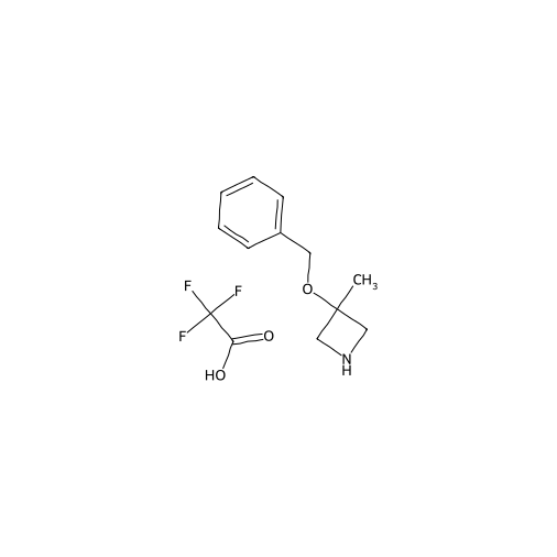 CC1(OCc2ccccc2)CNC1.O=C(O)C(F)(F)F